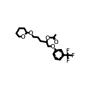 CC(=O)OC(CCCOC1CCCCO1)COc1cccc(C(F)(F)F)c1